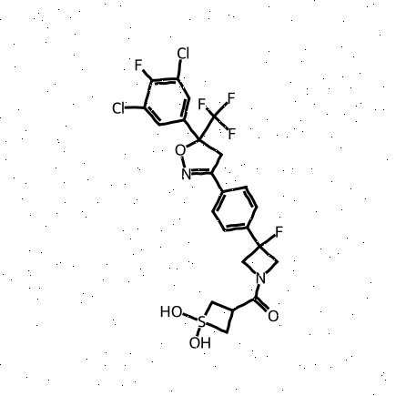 O=C(C1CS(O)(O)C1)N1CC(F)(c2ccc(C3=NOC(c4cc(Cl)c(F)c(Cl)c4)(C(F)(F)F)C3)cc2)C1